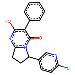 O=c1c(-c2ccccc2)c(O)nc2n1C(c1ccc(Cl)nc1)CC2